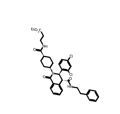 CCOC(=O)CCNC(=O)[C@H]1CC[C@@H](N2C(=O)c3ccccc3[C@@H](C(=O)NCCc3ccccc3)[C@@H]2c2ccc(Cl)cc2Cl)CC1